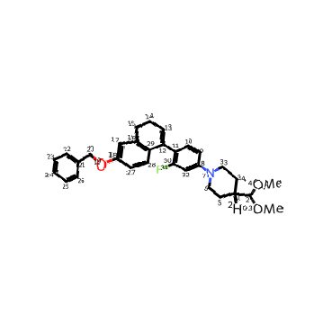 [2H]C1(C(OC)OC)CCN(c2ccc(C3=CCCc4cc(OCc5ccccc5)ccc43)c(F)c2)CC1